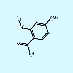 CCNc1cc(OC)ccc1C(N)=O